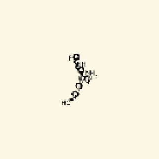 Nc1ncnc2c1c(-c1ccc3[nH]c(Cc4ccccc4F)cc3c1)nn2C1CCN(C2CCN(CCO)CC2)CC1